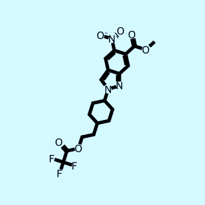 COC(=O)c1cc2nn(C3CCC(CCOC(=O)C(F)(F)F)CC3)cc2cc1[N+](=O)[O-]